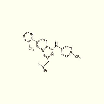 CC(C)N(C)Cc1nc(Nc2ccc(C(F)(F)F)nc2)c2ccc(-c3ncccc3C(F)(F)F)cc2n1